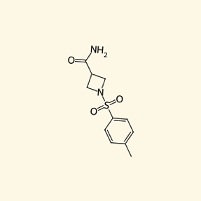 Cc1ccc(S(=O)(=O)N2CC(C(N)=O)C2)cc1